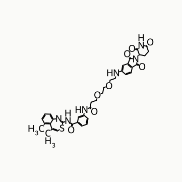 CC1=CSC(NC(=O)c2cccc(NC(=O)CCOCCOCCNc3ccc4c(c3)C(=O)N(C3CCC(=O)NC3=O)C4=O)c2)=Nc2cccc(C)c21